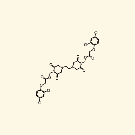 O=C(COc1ccc(Cl)cc1Cl)OCN1C(=O)CN(CCN2CC(=O)N(COC(=O)COc3ccc(Cl)cc3Cl)C(=O)C2)CC1=O